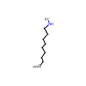 [CH2]CNCCCCCCCCCCCCCC